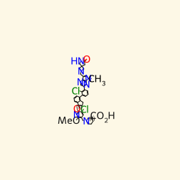 COc1nc(O[C@H]2CCc3c(-c4cccc(-c5cnc6c(CN7CC8(CNC(=O)C8)C7)cn(C)c6n5)c4Cl)cccc32)c(Cl)cc1CN1CCC[C@@H](C(=O)O)C1